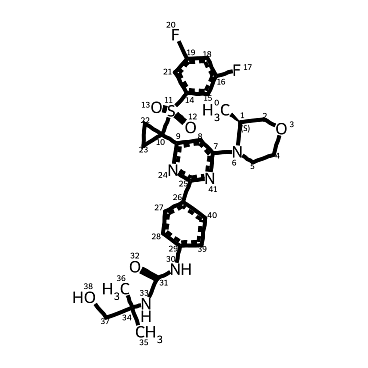 C[C@H]1COCCN1c1cc(C2(S(=O)(=O)c3cc(F)cc(F)c3)CC2)nc(-c2ccc(NC(=O)NC(C)(C)CO)cc2)n1